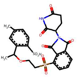 Cc1ccc(S(=O)(=O)O)c(C(C)OCCS(=O)(=O)c2cccc3c2C(=O)N(C2CCC(=O)NC2=O)C3=O)c1